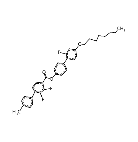 CCCCCCCCOc1ccc(-c2ccc(OC(=O)c3ccc(-c4ccc(C)cc4)c(F)c3F)cc2)c(F)c1